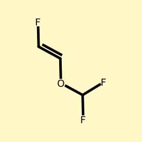 FC=COC(F)F